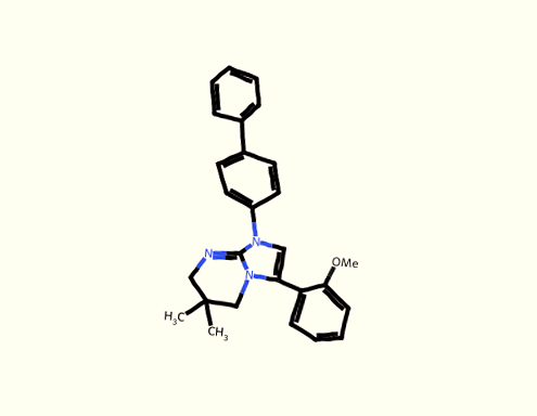 COc1ccccc1C1=CN(c2ccc(-c3ccccc3)cc2)C2=NCC(C)(C)CN12